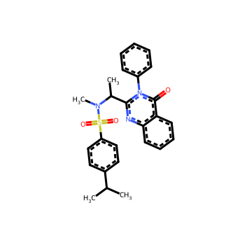 CC(C)c1ccc(S(=O)(=O)N(C)C(C)c2nc3ccccc3c(=O)n2-c2ccccc2)cc1